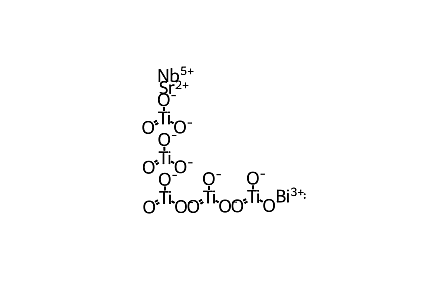 [Bi+3].[Nb+5].[O]=[Ti]([O-])[O-].[O]=[Ti]([O-])[O-].[O]=[Ti]([O-])[O-].[O]=[Ti]([O-])[O-].[O]=[Ti]([O-])[O-].[Sr+2]